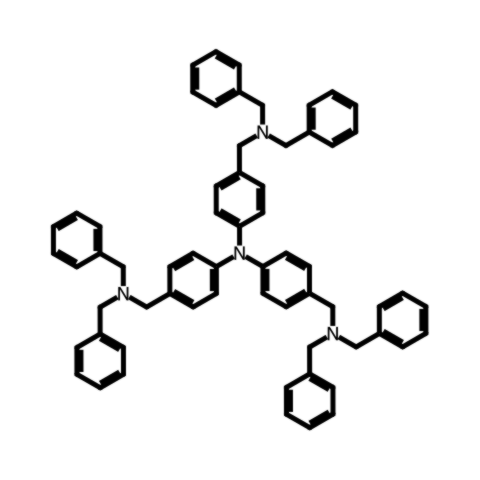 c1ccc(CN(Cc2ccccc2)Cc2ccc(N(c3ccc(CN(Cc4ccccc4)Cc4ccccc4)cc3)c3ccc(CN(Cc4ccccc4)Cc4ccccc4)cc3)cc2)cc1